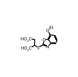 CCOc1cccc2nc(SC(CC(=O)O)C(=O)O)oc12